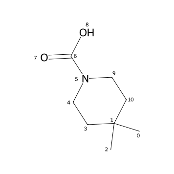 CC1(C)CCN(C(=O)O)CC1